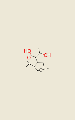 CC1CCC(C(C)C)C(C(C(=O)O)C(C)O)C1